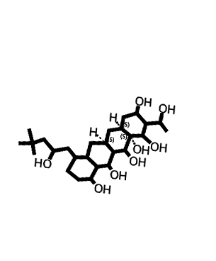 CC(O)C1C(O)C[C@@H]2C[C@@H]3CC4C(CC(O)CC(C)(C)C)CCC(O)C4C(O)C3C(O)[C@]2(O)C1O